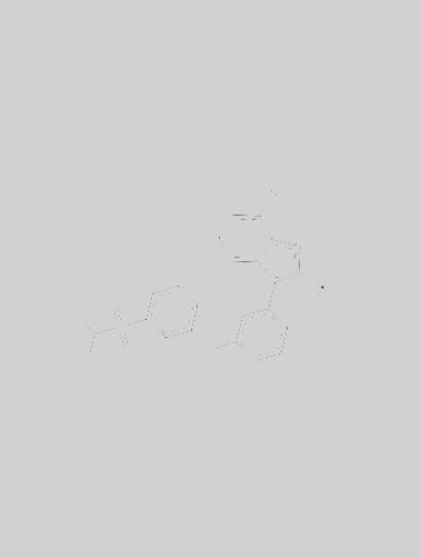 CC(C)S(=O)(=O)c1cccc(Oc2cccc(-c3c(C(C)(C)C)nc4c(N)cccn34)c2)c1